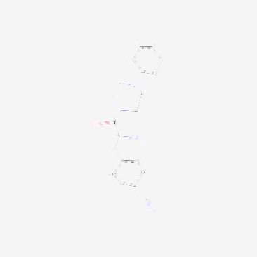 N#Cc1ccc(CC(N)C(=O)N2CCN(c3ccccc3)CC2)cc1